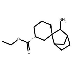 CCOC(=O)[C@@H]1CCC[C@]2(C1)C1CCC(C1)C2N